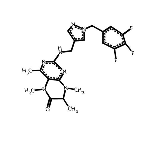 Cc1nc(NCc2cnn(Cc3cc(F)c(F)c(F)c3)c2)nc2c1N(C)C(=O)C(C)N2C